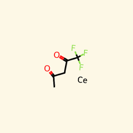 CC(=O)CC(=O)C(F)(F)F.[Ce]